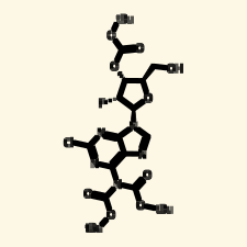 CC(C)(C)OC(=O)O[C@H]1[C@@H](F)[C@H](n2cnc3c(N(C(=O)OC(C)(C)C)C(=O)OC(C)(C)C)nc(Cl)nc32)O[C@@H]1CO